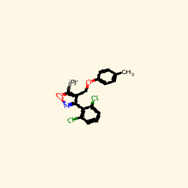 Cc1ccc(OCc2c(-c3c(Cl)cccc3Cl)noc2C(C)C)cc1